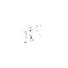 CC(OS(=O)(=O)c1ccccc1)C(C)C(CC(F)(F)F)OS(=O)(=O)c1ccccc1